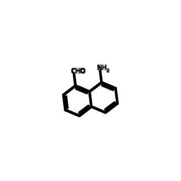 Nc1cccc2cccc(C=O)c12